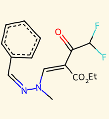 CCOC(=O)/C(=C\N(C)/N=C\c1ccccc1)C(=O)C(F)F